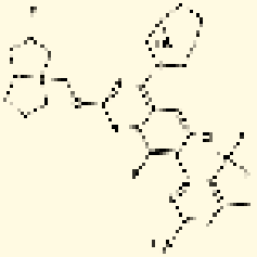 Cc1cc(N)nc(-c2c(Cl)cc3c(N4CC5CCC(C4)N5)nc(OCC45CCCN4C[C@H](F)C5)nc3c2F)c1C(F)(F)F